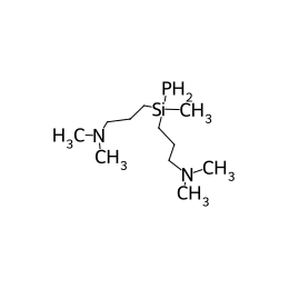 CN(C)CCC[Si](C)(P)CCCN(C)C